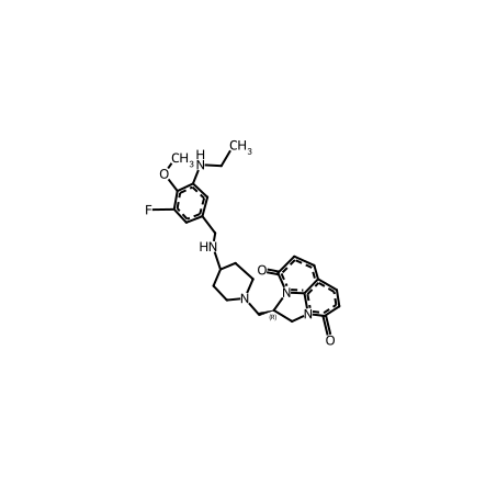 CCNc1cc(CNC2CCN(C[C@@H]3Cn4c(=O)ccc5ccc(=O)n3c54)CC2)cc(F)c1OC